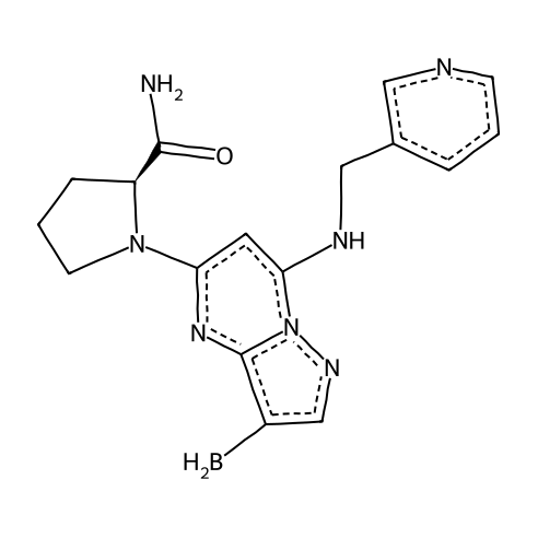 Bc1cnn2c(NCc3cccnc3)cc(N3CCC[C@H]3C(N)=O)nc12